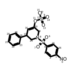 O=Nc1ccc(S(=O)(=O)N2CC(OS(=O)(=O)C(F)(F)F)=CC(c3ccccc3)C2)cc1